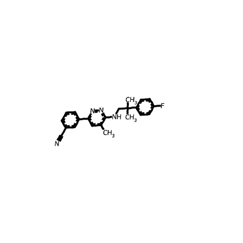 Cc1cc(-c2cccc(C#N)c2)nnc1NCC(C)(C)c1ccc(F)cc1